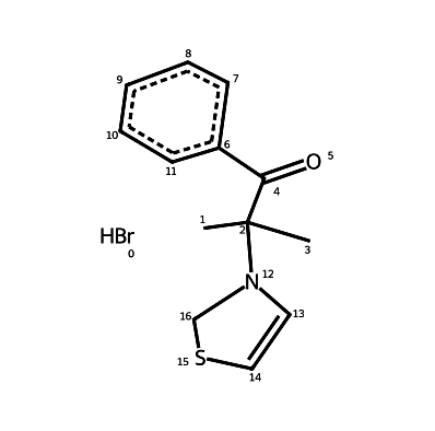 Br.CC(C)(C(=O)c1ccccc1)N1C=CSC1